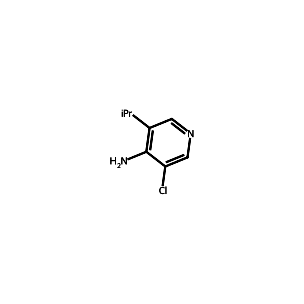 CC(C)c1cncc(Cl)c1N